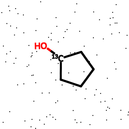 O[13CH]1CCCC1